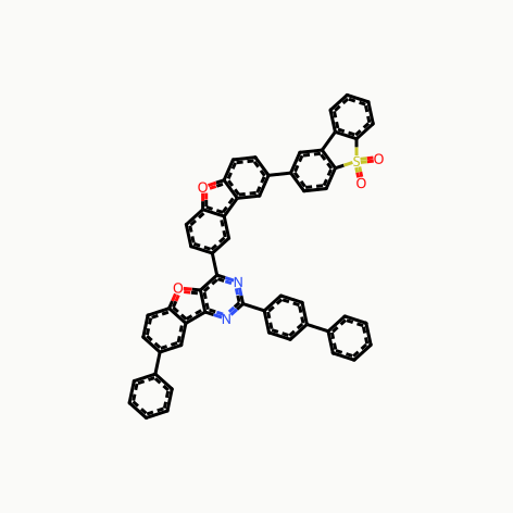 O=S1(=O)c2ccccc2-c2cc(-c3ccc4oc5ccc(-c6nc(-c7ccc(-c8ccccc8)cc7)nc7c6oc6ccc(-c8ccccc8)cc67)cc5c4c3)ccc21